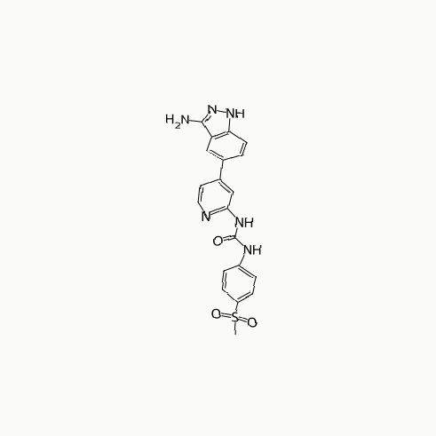 CS(=O)(=O)c1ccc(NC(=O)Nc2cc(-c3ccc4[nH]nc(N)c4c3)ccn2)cc1